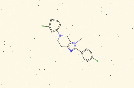 Cn1c(-c2ccc(F)cc2)nc2c1CN(c1cccc(F)c1)CC2